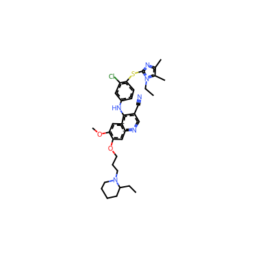 CCC1CCCCN1CCCOc1cc2ncc(C#N)c(Nc3ccc(Sc4nc(C)c(C)n4CC)c(Cl)c3)c2cc1OC